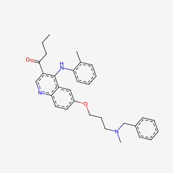 CCCC(=O)c1cnc2ccc(OCCCN(C)Cc3ccccc3)cc2c1Nc1ccccc1C